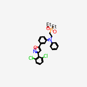 CCOP(=O)(CC)CCN(c1ccccc1)c1cccc(-c2cc(-c3c(Cl)cccc3Cl)no2)c1